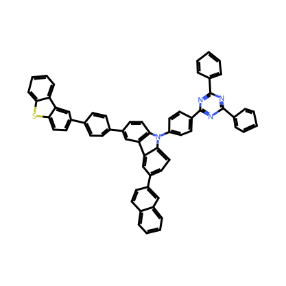 c1ccc(-c2nc(-c3ccccc3)nc(-c3ccc(-n4c5ccc(-c6ccc(-c7ccc8sc9ccccc9c8c7)cc6)cc5c5cc(-c6ccc7ccccc7c6)ccc54)cc3)n2)cc1